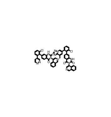 O=c1[nH]c2cc(-c3c(Cl)cccc3-c3cc(C[n+]4cc(-n5c(=O)[nH]c6cc(-c7c(Cl)cccc7-c7ccnnc7)ccc6c5=O)c5ccccc5c4)c4ncnn4c3)ccc2c(=O)n1-c1cncc2ccccc12